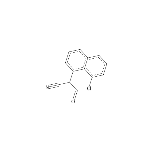 N#CC(C=O)c1cccc2cccc(Cl)c12